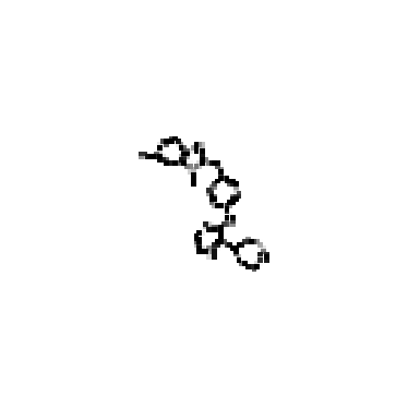 Cn1c([C]c2ccc(Oc3nccnc3C3CCOCC3)cc2)nc2ccc(F)cc21